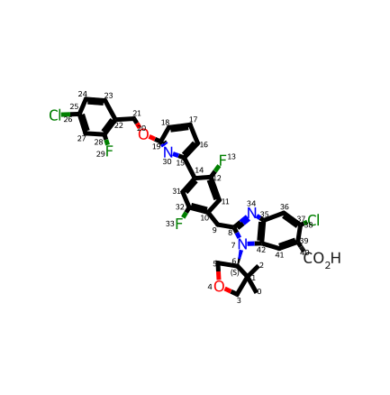 CC1(C)COC[C@H]1n1c(Cc2cc(F)c(-c3cccc(OCc4ccc(Cl)cc4F)n3)cc2F)nc2cc(Cl)c(C(=O)O)cc21